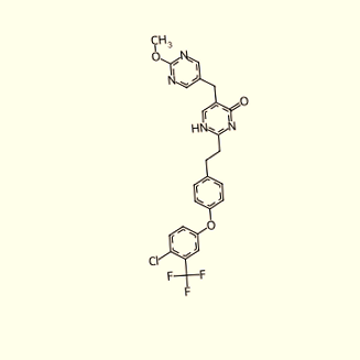 COc1ncc(Cc2c[nH]c(CCc3ccc(Oc4ccc(Cl)c(C(F)(F)F)c4)cc3)nc2=O)cn1